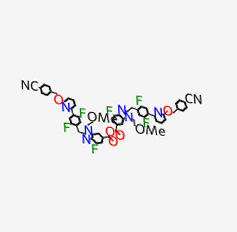 COCCn1c(Cc2cc(F)c(-c3cccc(OCc4ccc(C#N)cc4)n3)cc2F)nc2c(F)cc(C(=O)OC(=O)c3cc(F)c4nc(Cc5cc(F)c(-c6cccc(OCc7ccc(C#N)cc7)n6)cc5F)n(CCOC)c4c3)cc21